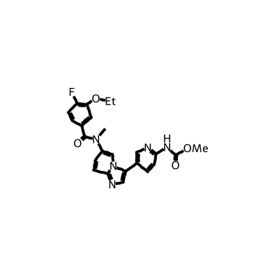 CCOc1cc(C(=O)N(C)c2ccc3ncc(-c4ccc(NC(=O)OC)nc4)n3c2)ccc1F